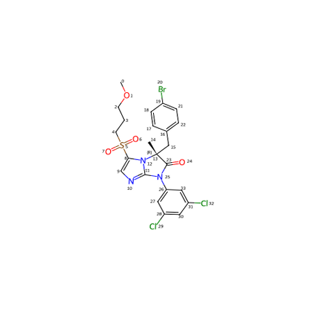 COCCCS(=O)(=O)c1cnc2n1[C@](C)(Cc1ccc(Br)cc1)C(=O)N2c1cc(Cl)cc(Cl)c1